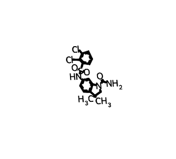 CC1(C)CN(C(N)=O)c2cc(NS(=O)(=O)c3cccc(Cl)c3Cl)ccc21